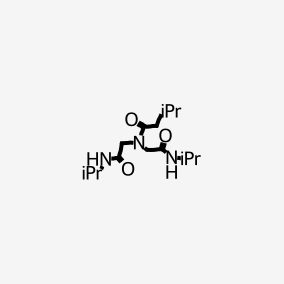 CC(C)CC(=O)N(CC(=O)NC(C)C)CC(=O)NC(C)C